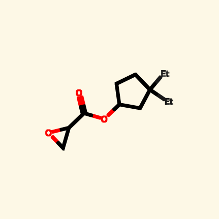 CCC1(CC)CCC(OC(=O)C2CO2)C1